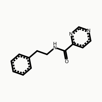 O=C(NCCc1ccccc1)c1ccncn1